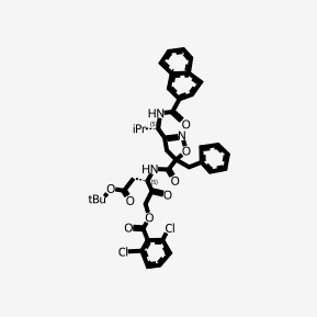 CC(C)[C@H](NC(=O)c1ccc2ccccc2c1)C1=NOC(Cc2ccccc2)(C(=O)N[C@@H](CC(=O)OC(C)(C)C)C(=O)COC(=O)c2c(Cl)cccc2Cl)C1